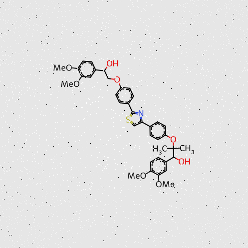 COc1ccc(C(O)COc2ccc(-c3nc(-c4ccc(OC(C)(C)C(O)c5ccc(OC)c(OC)c5)cc4)cs3)cc2)cc1OC